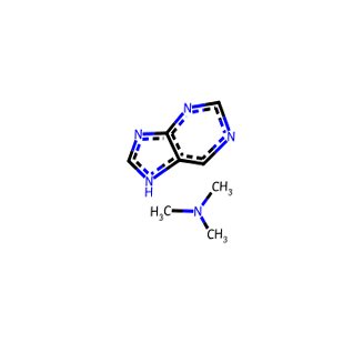 CN(C)C.c1ncc2[nH]cnc2n1